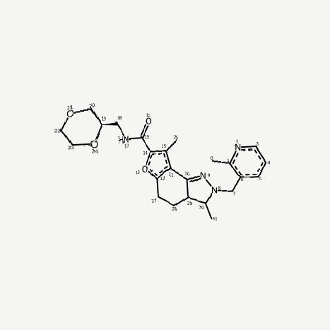 Cc1ncccc1CN1N=C2c3c(oc(C(=O)NC[C@@H]4COCCO4)c3C)CCC2C1C